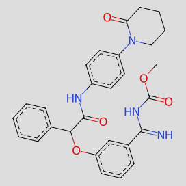 COC(=O)NC(=N)c1cccc(OC(C(=O)Nc2ccc(N3CCCCC3=O)cc2)c2ccccc2)c1